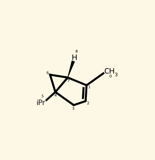 CC1=CCC2(C(C)C)C[C@H]12